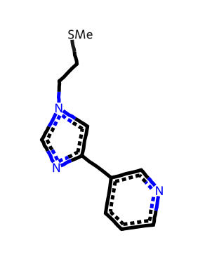 CSCCn1cnc(-c2cccnc2)c1